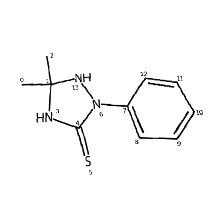 CC1(C)NC(=S)N(c2ccccc2)N1